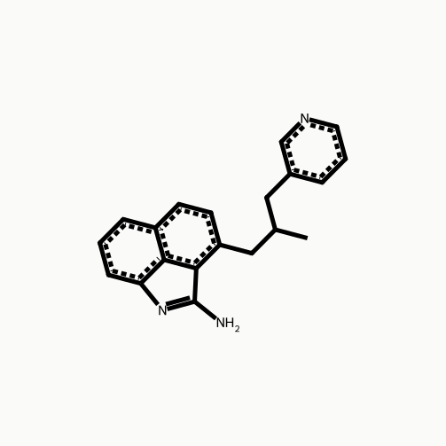 CC(Cc1cccnc1)Cc1ccc2cccc3c2c1C(N)=N3